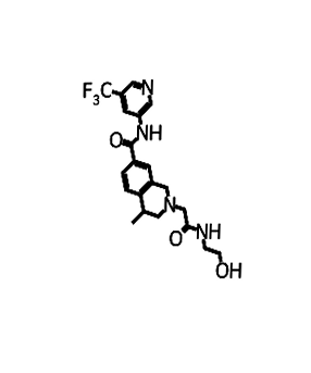 CC1CN(CC(=O)NCCO)Cc2cc(C(=O)Nc3cncc(C(F)(F)F)c3)ccc21